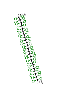 O=C(O)C(Cl)(Cl)C(Cl)(Cl)C(Cl)(Cl)C(Cl)(Cl)C(Cl)(Cl)C(Cl)(Cl)C(Cl)(Cl)C(Cl)(Cl)C(Cl)(Cl)C(Cl)(Cl)C(Cl)(Cl)C(Cl)(Cl)C(Cl)(Cl)C(Cl)(Cl)C(Cl)(Cl)C(Cl)(Cl)C(Cl)(Cl)C(Cl)(Cl)C(Cl)(Cl)C(Cl)(Cl)C(Cl)(Cl)C(Cl)(Cl)C(Cl)(Cl)C(Cl)(Cl)Cl